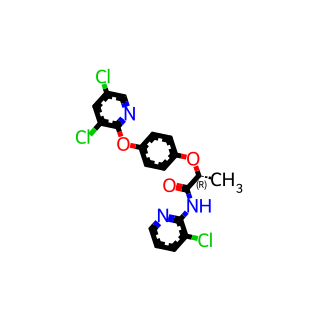 C[C@@H](Oc1ccc(Oc2ncc(Cl)cc2Cl)cc1)C(=O)Nc1ncccc1Cl